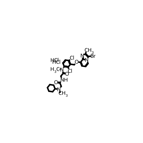 Cc1nc2c(OCc3c(Cl)ccc(N(C)C(=O)CNC(=O)CN(C)C4CCCCC4)c3Cl)cccn2c1Br.Cl.Cl